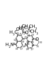 CC(=O)[C@@H](OC(C)(C)C)c1c(C)cc2c(N)cccc2c1-c1ccc2c3c(ccnc13)CCO2